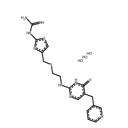 Cl.Cl.Cl.N=C(N)Nc1nc(CSCCNc2ncc(Cc3cccnc3)c(=O)[nH]2)cs1